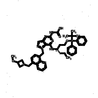 CCC[C@@H](CCO[Si](c1ccccc1)(c1ccccc1)C(C)(C)C)Nc1nc(NC(=O)O)nc2cnn(Cc3ccc(CN4CC(OC)C4)c4cccnc34)c12